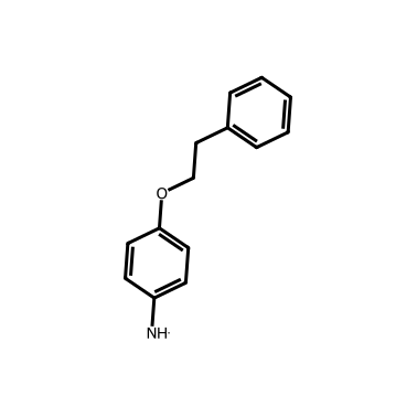 [NH]c1ccc(OCCc2ccccc2)cc1